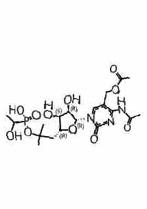 CC(=O)Nc1nc(=O)n([C@@H]2O[C@H](CC(C)(C)OP(=O)(O)C(C)O)[C@@H](O)[C@H]2O)cc1COC(C)=O